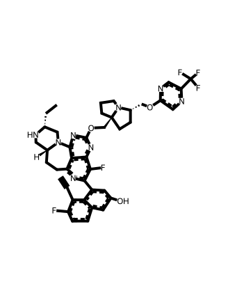 C#Cc1c(F)ccc2cc(O)cc(-c3nc4c5c(nc(OC[C@@]67CCCN6[C@H](COc6cnc(C(F)(F)F)cn6)CC7)nc5c3F)N3C[C@@H](CC)NC[C@H]3CC4)c12